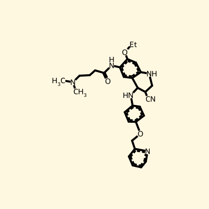 CCOc1cc2c(cc1NC(=O)CCCN(C)C)C(Nc1ccc(OCc3ccccn3)cc1)C(C#N)CN2